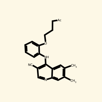 CC(=O)CCCOc1ccccc1Nc1c(C#N)cnc2cc(C)c(C)cc12